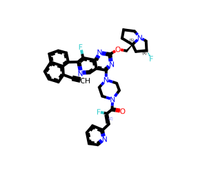 C#Cc1cccc2cccc(-c3ncc4c(N5CCN(C(=O)/C(F)=C/c6ccccn6)CC5)nc(OC[C@@]56CCCN5C[C@H](F)C6)nc4c3F)c12